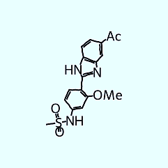 COc1cc(NS(C)(=O)=O)ccc1-c1nc2cc(C(C)=O)ccc2[nH]1